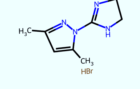 Br.Cc1cc(C)n(C2=NCCN2)n1